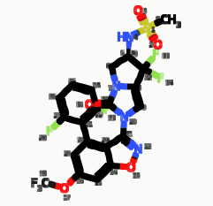 CS(=O)(=O)N[C@@H]1Cn2c(cn(-c3noc4cc(OC(F)(F)F)cc(-c5c(F)cccc5F)c34)c2=O)C1(F)F